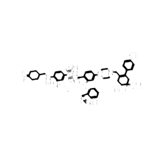 CC1(C)CCC(CN2CCN(c3ccc(C(=O)NS(=O)(=O)c4ccc(NCC5CCC(F)(F)CC5)c([N+](=O)[O-])c4)c(Oc4cccc5[nH]ncc45)c3)CC2)=C(c2ccc(Cl)cc2)C1